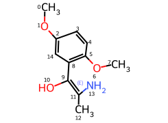 COc1ccc(OC)c(/C(O)=C(/C)N)c1